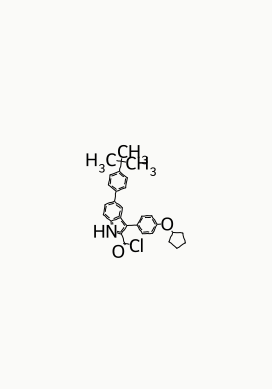 CC(C)(C)c1ccc(-c2ccc3[nH]c(C(=O)Cl)c(-c4ccc(OC5CCCC5)cc4)c3c2)cc1